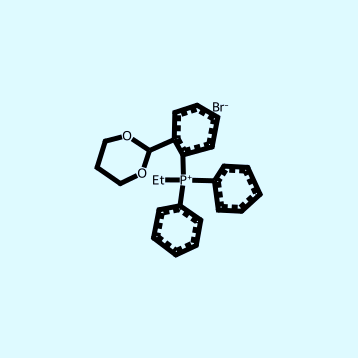 CC[P+](c1ccccc1)(c1ccccc1)c1ccccc1C1OCCCO1.[Br-]